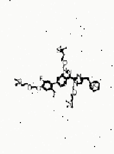 CCc1cc(OCOCC[Si](C)(C)C)c(F)cc1-c1ccc2c(-c3nc(CN4CC5CCC4CC5)cn3COCC[Si](C)(C)C)nn(COCC[Si](C)(C)C)c2c1